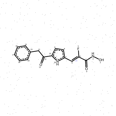 O=C(NO)/C(F)=C/c1ccc(C(=O)Cc2ccccc2)[nH]1